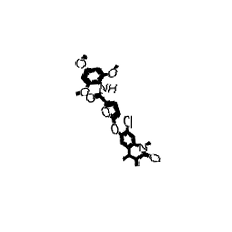 COc1cc(OC)c(NC(=O)c2ccc(Oc3cc4c(cc3Cl)N(C)C(=O)C(C)C4C)o2)c(OC)c1